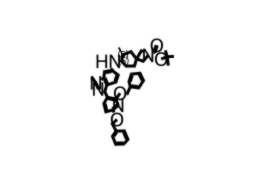 C[C@H]1CC2(CC[C@@H]1Nc1ccc3c(-c4ccc(OCc5ccccc5)nc4OCc4ccccc4)nn(C)c3c1)CN(C(=O)OC(C)(C)C)C2